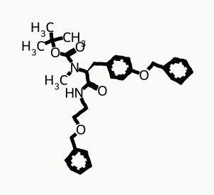 CN(C(=O)OC(C)(C)C)[C@@H](Cc1ccc(OCc2ccccc2)cc1)C(=O)NCCOCc1ccccc1